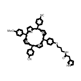 [C-]#[N+]c1ccc(-c2c3nc(c(-c4ccc(OC)cc4)c4ccc([nH]4)c(-c4ccc(C#N)cc4)c4nc(c(-c5ccc(OCCCNC(=O)Cc6cc[nH]c6)cc5)c5ccc2[nH]5)C=C4)C=C3)cc1